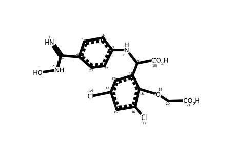 N=C(NO)c1ccc(NC(C(=O)O)c2cc(Cl)cc(Cl)c2OCC(=O)O)cc1